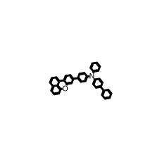 c1ccc(-c2ccc(N(c3ccccc3)c3ccc(-c4ccc5c(c4)Oc4cccc6cccc-5c46)cc3)cc2)cc1